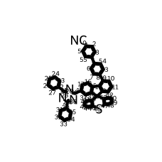 N#Cc1ccc(-c2ccc(-c3cccc4c3-c3ccc(-c5nc(-c6ccccc6)nc(-c6ccccc6)n5)cc3C43c4ccccc4Sc4ccccc43)cc2)cc1